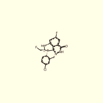 O=c1[nH]nc2c3c(cc(F)cc13)N[C@H](CF)[C@H]2c1ccc(Cl)cc1F